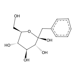 OC[C@H]1O[C@](O)(Cc2ccccc2)[C@H](O)[C@@H](O)[C@@H]1O